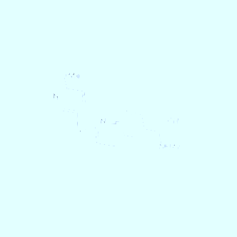 COc1ccc(Oc2ccc3cc(C(C)NC(C)=O)ccc3n2)cn1